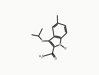 Cc1ccc2c(c1)c(OC(C)C)c(C(N)=O)[s+]2[O-]